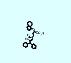 O=C(O)C(CCn1cc(C(c2ccccc2)c2ccccc2)[nH]c1=O)Oc1cccc2c1CCCC2